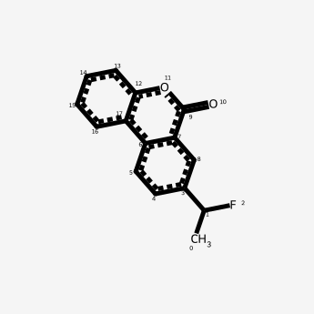 CC(F)c1ccc2c(c1)c(=O)oc1ccccc12